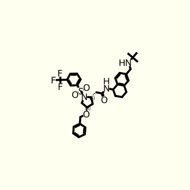 CC(C)(C)NCc1ccc2c(c1)CCCC2NC(=O)C[C@@H]1C[C@@H](OCc2ccccc2)CN1S(=O)(=O)c1cccc(C(F)(F)F)c1